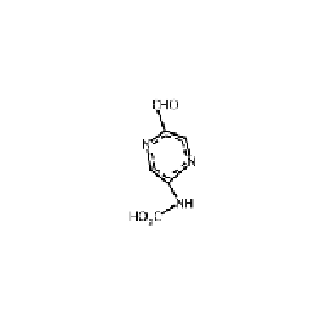 O=Cc1cnc(NC(=O)O)cn1